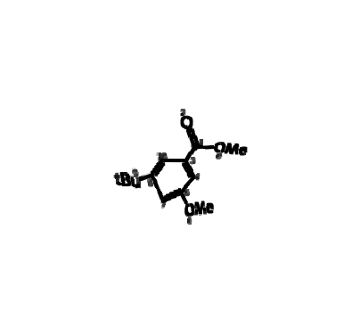 COC(=O)c1cc(OC)cc(C(C)(C)C)c1